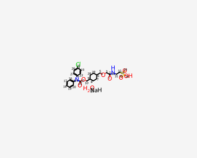 O.O=C(COCC1CCC(COC(=O)N(c2ccccc2)c2ccc(Cl)cc2)CC1)NCCS(=O)(=O)O.[NaH]